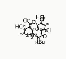 CC(C)(C)N(N)C(=O)c1ccc(Cl)cc1Cl.Cl.Cl.O=C(Cl)c1ccccc1